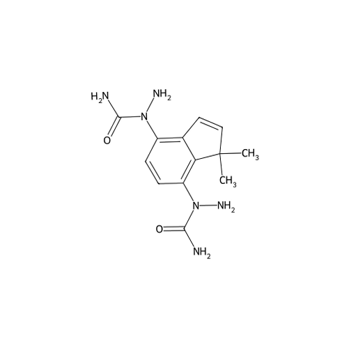 CC1(C)C=Cc2c(N(N)C(N)=O)ccc(N(N)C(N)=O)c21